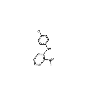 CNc1ccccc1Nc1ccc(Cl)cc1